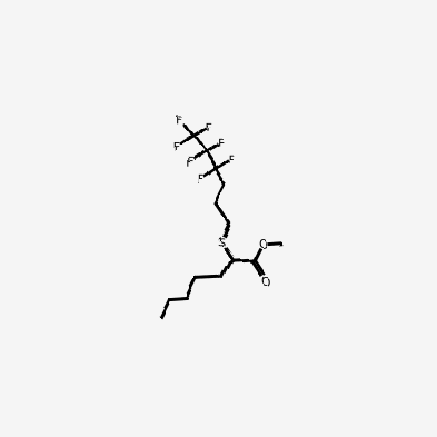 CCCCCC(SCCCC(F)(F)C(F)(F)C(F)(F)F)C(=O)OC